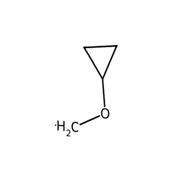 [CH2]OC1CC1